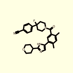 Cc1cc(C)c(-c2cnc(C3CCOCC3)[nH]2)cc1C(=O)N1CCC(F)(c2ccc(C#N)cc2)CC1